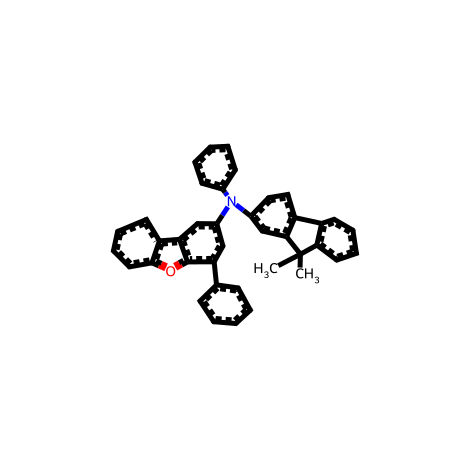 CC1(C)c2ccccc2-c2ccc(N(c3ccccc3)c3cc(-c4ccccc4)c4oc5ccccc5c4c3)cc21